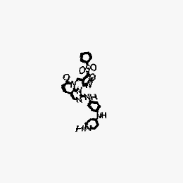 O=c1ccc2cnc(Nc3ccc(NC4CCNCC4)cc3)nc2n1Cc1cnoc1S(=O)(=O)C1CCCC1